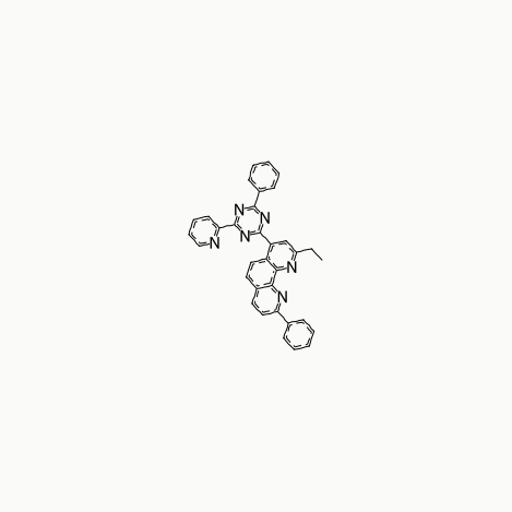 CCc1cc(-c2nc(-c3ccccc3)nc(-c3ccccn3)n2)c2ccc3ccc(-c4ccccc4)nc3c2n1